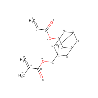 C=CC(=O)OC12CC3CC(CC(COC(=O)C(=C)C)(C3)C1)C2